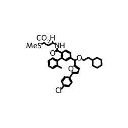 CSCC[C@H](NC(=O)c1ccc(C(OCCC2CCCCC2)c2ccc(-c3ccc(Cl)cc3)o2)cc1-c1ccccc1C)C(=O)O